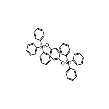 c1cc[c]([Sn]([O]c2ccc([O][Sn]([c]3ccccc3)([c]3ccccc3)[c]3ccccc3)cc2)([c]2ccccc2)[c]2ccccc2)cc1